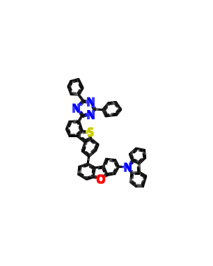 c1ccc(-c2nc(-c3ccccc3)nc(-c3cccc4c3sc3ccc(-c5cccc6oc7cc(-n8c9ccccc9c9ccccc98)ccc7c56)cc34)n2)cc1